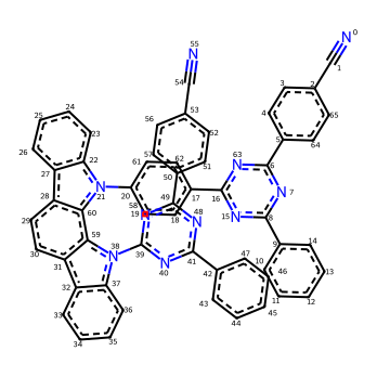 N#Cc1ccc(-c2nc(-c3ccccc3)nc(-c3ccc(-n4c5ccccc5c5ccc6c7ccccc7n(-c7nc(-c8ccccc8)nc(-c8ccc(C#N)cc8)n7)c6c54)cc3)n2)cc1